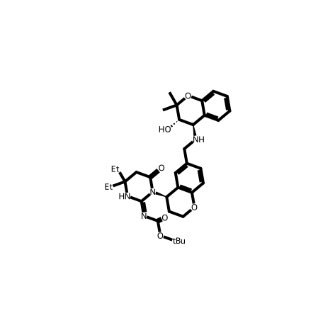 CCC1(CC)CC(=O)N([C@@H]2CCOc3ccc(CN[C@@H]4c5ccccc5OC(C)(C)[C@H]4O)cc32)/C(=N\C(=O)OC(C)(C)C)N1